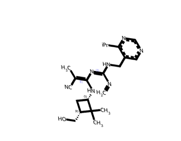 C=N/C(=N\C(N[C@H]1C[C@@H](CO)C1(C)C)=C(/C)C#N)NCc1cncnc1C(C)C